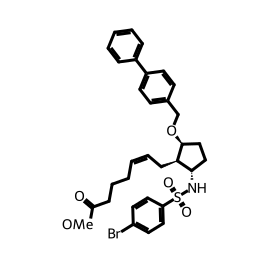 COC(=O)CCC/C=C\C[C@@H]1[C@@H](NS(=O)(=O)c2ccc(Br)cc2)CC[C@@H]1OCc1ccc(-c2ccccc2)cc1